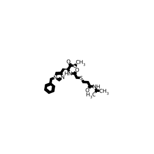 COC(=O)[C@H](Cc1cn(Cc2ccccc2)cn1)NC(=O)CSCCC(=O)NC(C)C